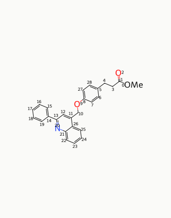 COC(=O)CCc1ccc(OCc2cc(-c3ccccc3)nc3ccccc23)cc1